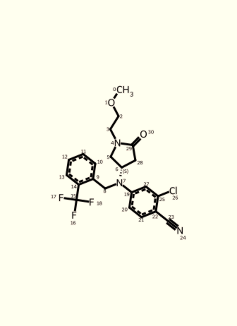 COCCN1C[C@@H](N(Cc2ccccc2C(F)(F)F)c2ccc(C#N)c(Cl)c2)CC1=O